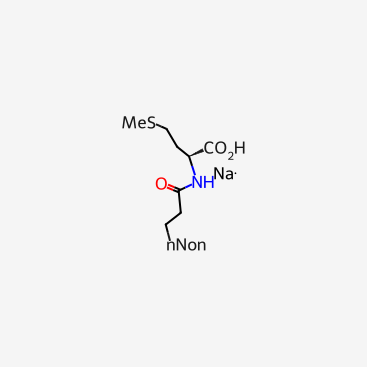 CCCCCCCCCCCC(=O)N[C@@H](CCSC)C(=O)O.[Na]